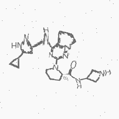 O=C(NC1CNC1)[C@@H]1CCCN1c1nc(Nc2cc(C3CC3)[nH]n2)c2cccn2n1